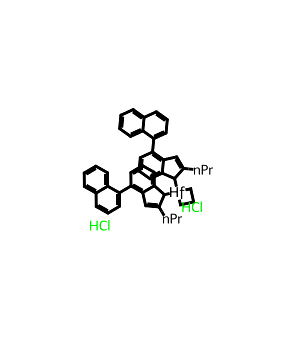 CCCC1=Cc2c(-c3cccc4ccccc34)cccc2[CH]1[Hf]1([CH]2C(CCC)=Cc3c(-c4cccc5ccccc45)cccc32)[CH2]C[CH2]1.Cl.Cl